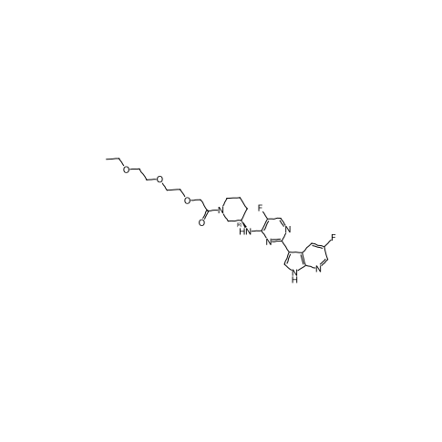 CCOCCOCCOCC(=O)N1CCC[C@@H](Nc2nc(-c3c[nH]c4ncc(F)cc34)ncc2F)C1